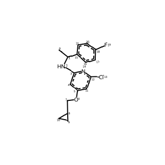 CC(Nc1cc(OCC2CC2)cc(Cl)n1)c1ccc(F)cc1